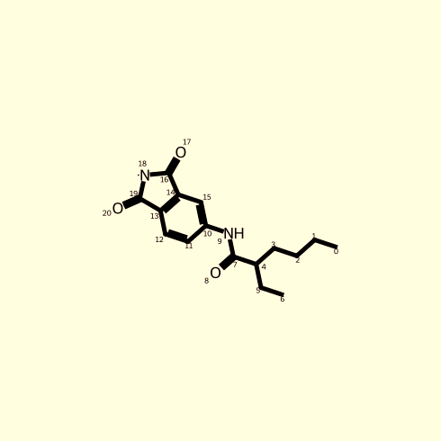 CCCCC(CC)C(=O)Nc1ccc2c(c1)C(=O)[N]C2=O